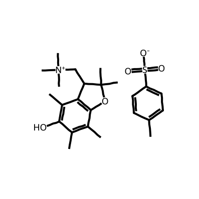 Cc1c(C)c2c(c(C)c1O)C(C[N+](C)(C)C)C(C)(C)O2.Cc1ccc(S(=O)(=O)[O-])cc1